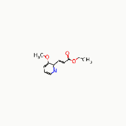 CCOC(=O)/C=C/c1ncccc1OC